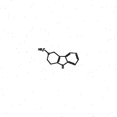 O=C(O)N1CCc2[nH]c3ccccc3c2C1